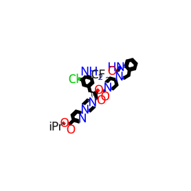 CC(C)OC(=O)c1ccc(N2CCN(C(=O)[C@@H](Cc3cc(Cl)c(N)c(C(F)(F)F)c3)OC(=O)N3CCC(N4CCc5ccccc5NC4=O)CC3)CC2)nc1